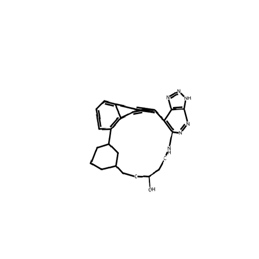 OC1CCNc2nnc3[nH]nnc3c2-c2ccc3c(cccc3c2)C2CCCC(CC1)C2